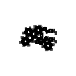 CCOc1ccc(-c2cccnc2C(Cc2ccccc2)NC(=O)NS(=O)(=O)c2ccccc2C)cc1